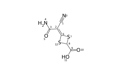 N#CC(C(N)=O)=C1SC(C(=O)O)S1